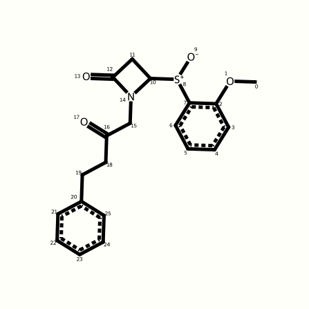 COc1ccccc1[S+]([O-])C1CC(=O)N1CC(=O)CCc1ccccc1